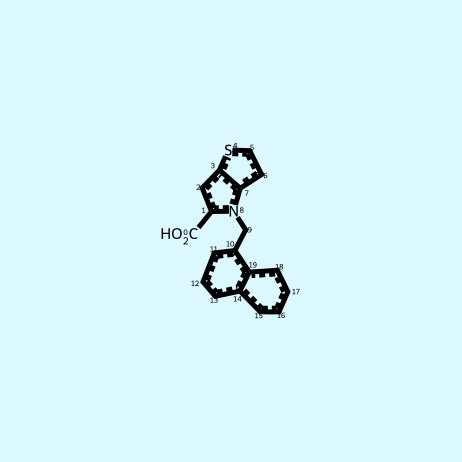 O=C(O)c1cc2sccc2n1Cc1cccc2ccccc12